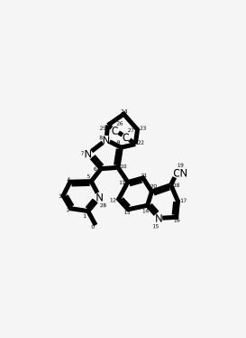 Cc1cccc(-c2nn3c(c2-c2ccc4nccc(C#N)c4c2)C2CCC3CC2)n1